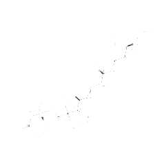 CO/N=C(\C)CCNC(=O)CCNC(=O)C(O)C(C)(C)COP(=O)(O)OC(C)C